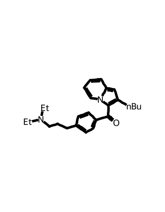 CCCCc1cc2ccccn2c1C(=O)c1ccc(CCCN(CC)CC)cc1